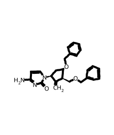 C=C1[C@H](COCc2ccccc2)[C@@H](OCc2ccccc2)C[C@@H]1n1ccc(N)nc1=O